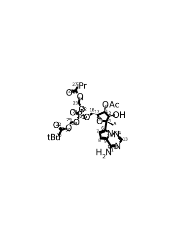 CC(=O)O[C@H]1[C@@H](O)[C@](C)(c2ccc3c(N)ncnn23)O[C@@H]1COP(=O)(OCOC(=O)C(C)C)OCOC(=O)C(C)(C)C